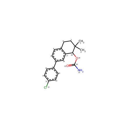 CC1(C)CCc2ccc(-c3ccc(Cl)cc3)cc2C1OC(N)=O